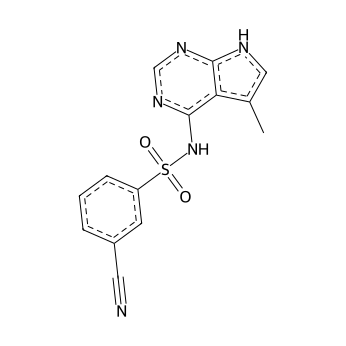 Cc1c[nH]c2ncnc(NS(=O)(=O)c3cccc(C#N)c3)c12